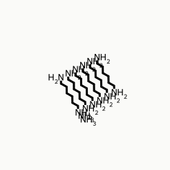 N.N.NCCCCCCN.NCCCCCCN.NCCCCCCN.NCCCCCCN.NCCCCCCN.NCCCCCCN